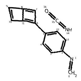 C=Nc1ccc(-c2cc3ccc2-3)cc1.N=C=O